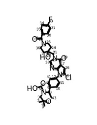 CC1(C)CN(C(=O)O)C(c2ccc(-n3c(Cl)cc4c(=O)n(CC5(O)CCN(C(=O)c6ccc(F)cc6)CC5)cnc43)cc2)CO1